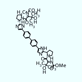 COC(=O)N[C@H](C(=O)N1CCCC1c1ncc(-c2ccc(-c3ccc(-c4cnc([C@@H]5CCCN5C(=O)[C@@H](N(C)C(=O)O)C(C)(C)O)[nH]4)cc3)cc2)[nH]1)C(C)(C)O